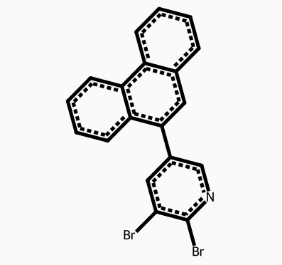 Brc1cc(-c2cc3ccccc3c3ccccc23)cnc1Br